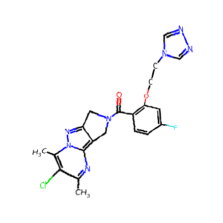 Cc1nc2c3c(nn2c(C)c1Cl)CN(C(=O)c1ccc(F)cc1OCCn1cnnc1)C3